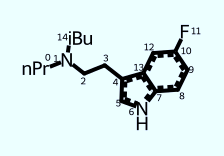 CCCN(CCc1c[nH]c2ccc(F)cc12)C(C)CC